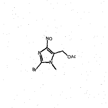 CC(=O)OCc1c(N=O)nc(Br)n1C